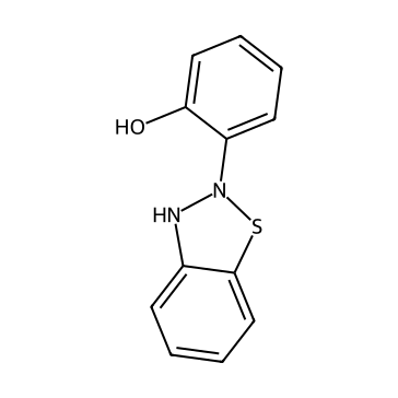 Oc1ccccc1N1Nc2ccccc2S1